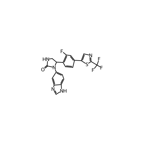 O=C1NCC(c2ccc(-c3cnc(C(F)(F)F)s3)cc2F)N1c1ccc2[nH]cnc2c1